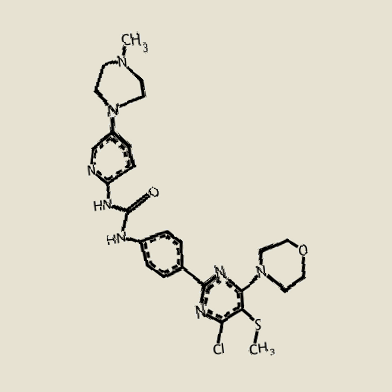 CSc1c(Cl)nc(-c2ccc(NC(=O)Nc3ccc(N4CCN(C)CC4)cn3)cc2)nc1N1CCOCC1